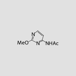 COc1nccc(NC(C)=O)n1